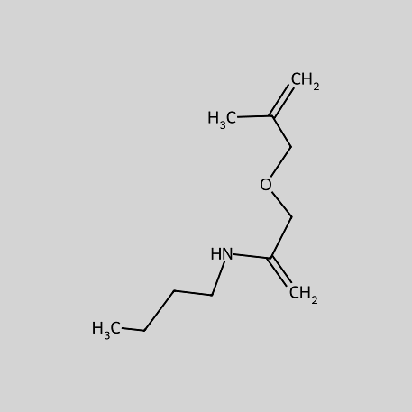 C=C(C)COCC(=C)NCCCC